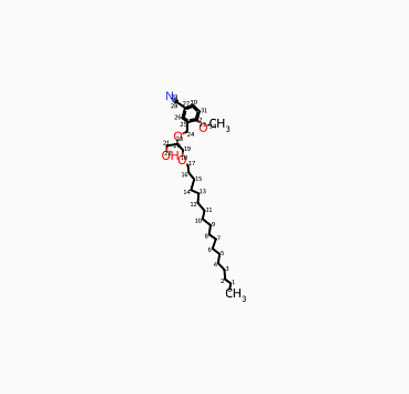 CCCCCCCCCCCCCCCCCCOCC(CO)OCc1cc(C#N)ccc1OC